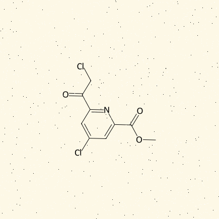 COC(=O)c1cc(Cl)cc(C(=O)CCl)n1